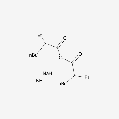 CCCCC(CC)C(=O)OC(=O)C(CC)CCCC.[KH].[NaH]